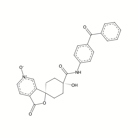 O=C(c1ccccc1)c1ccc(NC(=O)[C@]2(O)CC[C@]3(CC2)OC(=O)c2cc[n+]([O-])cc23)cc1